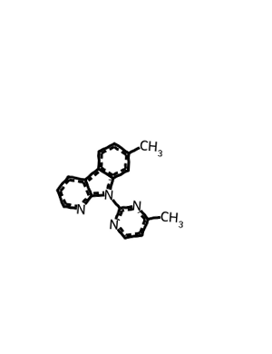 Cc1ccc2c3cccnc3n(-c3nccc(C)n3)c2c1